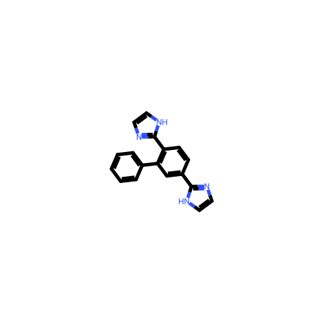 c1ccc(-c2cc(-c3ncc[nH]3)ccc2-c2ncc[nH]2)cc1